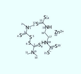 CN(C)C(=S)SSC(=S)N(C)C.S=C([S-])NCCNC(=S)[S-].[Zn+2]